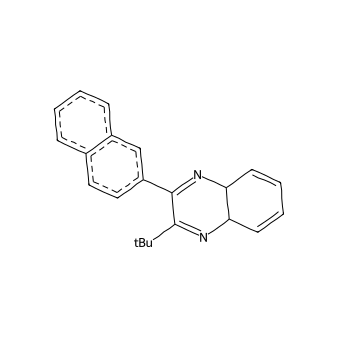 CC(C)(C)C1=NC2C=CC=CC2N=C1c1ccc2ccccc2c1